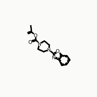 C=C(C)OC(=O)N1CCN(c2nc3ccccc3o2)CC1